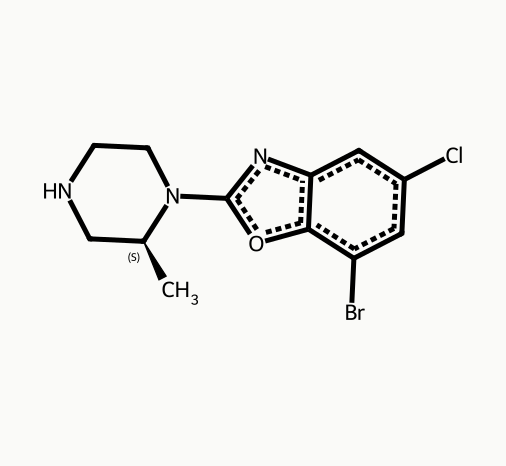 C[C@H]1CNCCN1c1nc2cc(Cl)cc(Br)c2o1